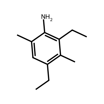 CCc1cc(C)c(N)c(CC)c1C